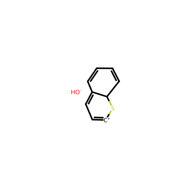 [C+]1=CC=C2C=CC=CC2S1.[OH-]